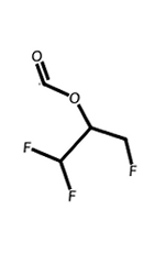 O=[C]OC(CF)C(F)F